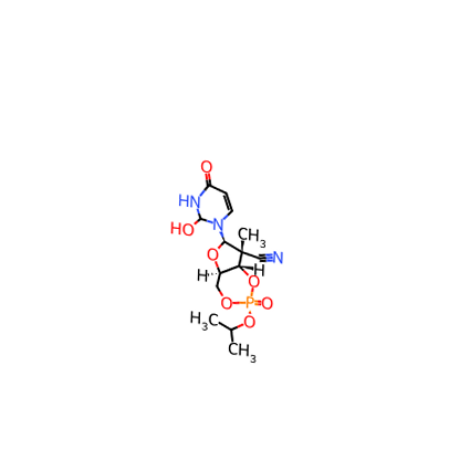 CC(C)O[P@]1(=O)OC[C@H]2O[C@@H](N3C=CC(=O)NC3O)[C@](C)(C#N)[C@@H]2O1